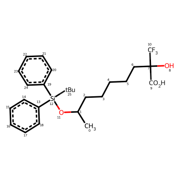 CC(CCCCCC(O)(C(=O)O)C(F)(F)F)O[Si](c1ccccc1)(c1ccccc1)C(C)(C)C